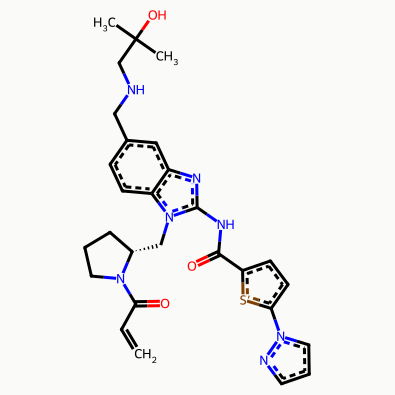 C=CC(=O)N1CCC[C@@H]1Cn1c(NC(=O)c2ccc(-n3cccn3)s2)nc2cc(CNCC(C)(C)O)ccc21